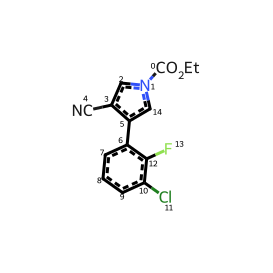 CCOC(=O)n1cc(C#N)c(-c2cccc(Cl)c2F)c1